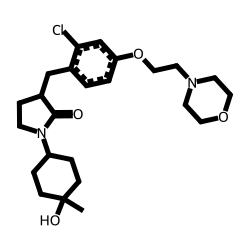 CC1(O)CCC(N2CCC(Cc3ccc(OCCN4CCOCC4)cc3Cl)C2=O)CC1